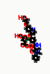 Cc1c(C(=O)Nc2ccc(Oc3ccnc4cc(OCC(C)(C)O)ccc34)c(F)c2)c(=O)n(-c2ccccc2)n1C.O=C(O)C=CC(=O)O